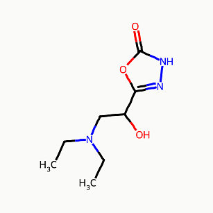 CCN(CC)CC(O)c1n[nH]c(=O)o1